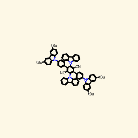 CC(C)(C)c1ccc2c(c1)c1cc(C(C)(C)C)ccc1n2-c1ccc(-c2c(C#N)c(-n3c4ccccc4c4ccccc43)c(-c3ccc(-n4c5ccc(C(C)(C)C)cc5c5cc(C(C)(C)C)ccc54)cc3)c(C#N)c2-n2c3ccccc3c3ccccc32)cc1